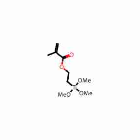 C=C(C)C(=O)OC[CH2][Ti]([O]C)([O]C)[O]C